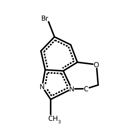 Cc1nc2cc(Br)cc3c2n1CCO3